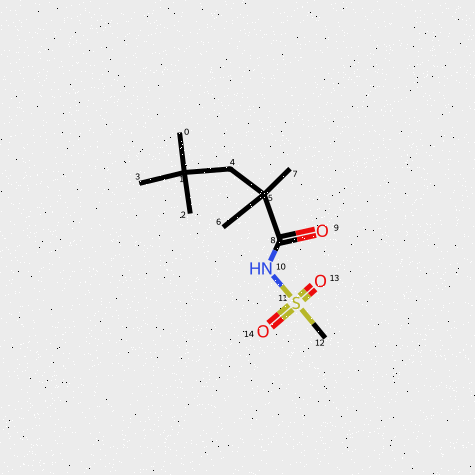 CC(C)(C)CC(C)(C)C(=O)NS(C)(=O)=O